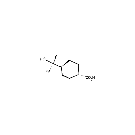 CC(C)[C@@](C)(O)[C@H]1CC[C@H](C(=O)O)CC1